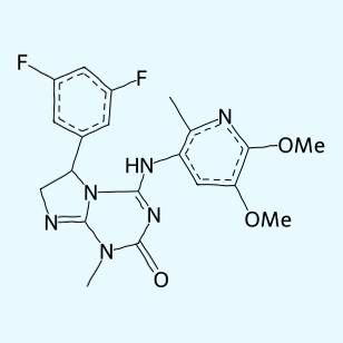 COc1cc(NC2=NC(=O)N(C)C3=NCC(c4cc(F)cc(F)c4)N23)c(C)nc1OC